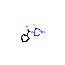 O=C(c1ccccc1)N1CCNCC1F